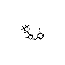 Cc1nn(Cc2cccc(F)c2)cc1C1OC(C)(C)C(C)(C)O1